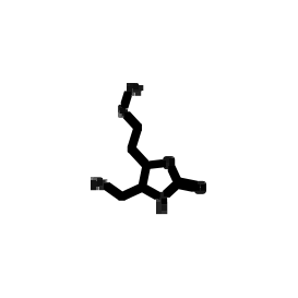 CC(C)CC1NC(=O)OC1CCSC(C)C